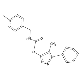 Cc1c(OC(=O)NCc2ccc(F)cc2)cnn1-c1ccccc1